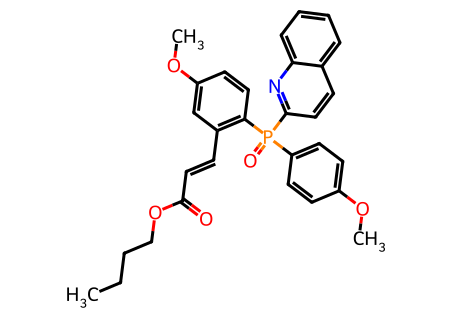 CCCCOC(=O)C=Cc1cc(OC)ccc1P(=O)(c1ccc(OC)cc1)c1ccc2ccccc2n1